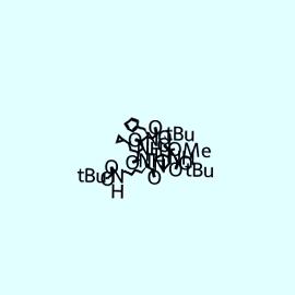 COC(=O)C1(NC(=O)OC(C)(C)C)CCN(C(=O)[C@@H](CCCCNC(=O)OC(C)(C)C)NC(=O)C(CCC2CC2)NC(=O)[C@@H](Cc2ccccc2)NC(=O)OC(C)(C)C)CC1